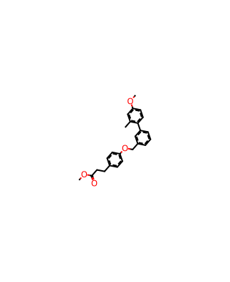 COC(=O)CCc1ccc(OCc2cccc(-c3ccc(OC)cc3C)c2)cc1